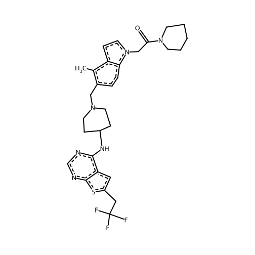 Cc1c(CN2CCC(Nc3ncnc4sc(CC(F)(F)F)cc34)CC2)ccc2c1ccn2CC(=O)N1CCCCC1